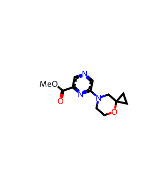 COC(=O)c1cncc(N2CCOC3(CC3)C2)n1